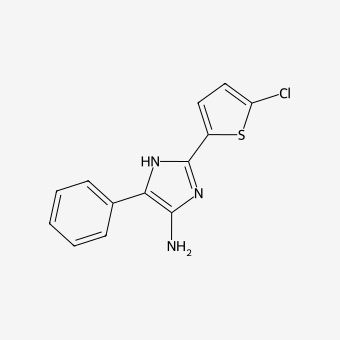 Nc1nc(-c2ccc(Cl)s2)[nH]c1-c1ccccc1